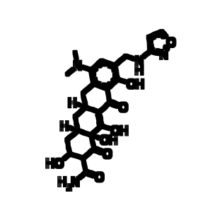 CN(C)c1cc(CNc2ccon2)c(O)c2c1C[C@H]1C[C@H]3CC(O)C(C(N)=O)C(=O)[C@@]3(O)C(O)=C1C2=O